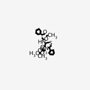 CCOC(C[C@@H](C=O)c1ccccc1)NC1CSCC(c2ccccc2)N(CC(=O)OC(C)(C)C)C1=O